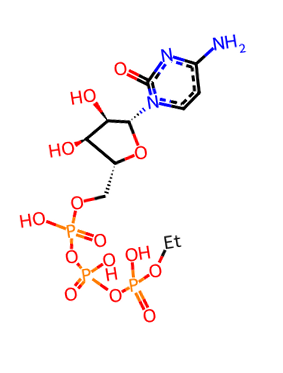 CCOP(=O)(O)OP(=O)(O)OP(=O)(O)OC[C@H]1O[C@@H](n2ccc(N)nc2=O)[C@H](O)[C@@H]1O